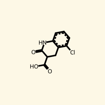 O=C(O)C1Cc2c(Cl)cccc2NC1=O